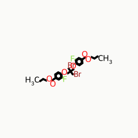 CCCCOC(=O)c1ccc(OCC(CBr)(CBr)COc2ccc(C(=O)OCCCC)cc2F)c(F)c1